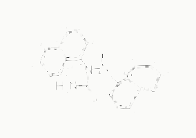 NC(=S)N(Nc1cccc2ccccc12)c1cccc2ccccc12